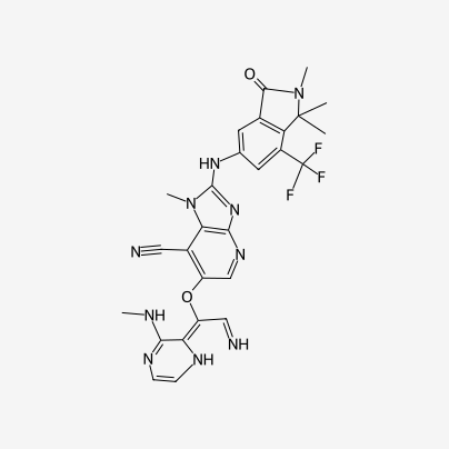 CNC1=NC=CN/C1=C(\C=N)Oc1cnc2nc(Nc3cc4c(c(C(F)(F)F)c3)C(C)(C)N(C)C4=O)n(C)c2c1C#N